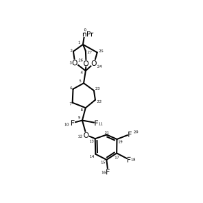 CCCC12COC(C3CCC(C(F)(F)Oc4cc(F)c(F)c(F)c4)CC3)(OC1)OC2